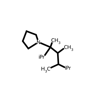 CC(C)C(C)C(C)C(C)(C(C)C)N1CCCC1